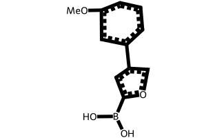 COc1cccc(-c2coc(B(O)O)c2)c1